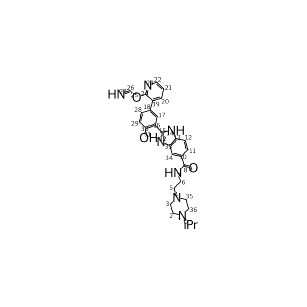 CC(C)N1CCN(CCNC(=O)c2ccc3[nH]c(-c4cc(-c5cccnc5OC=N)ccc4O)nc3c2)CC1